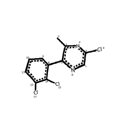 Cc1nc(Cl)cnc1-c1cccc(Cl)c1Cl